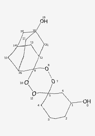 OC1CCCC2(C1)OOC1(OO2)C2CC3CC1CC(O)(C3)C2